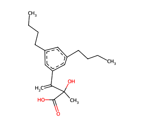 C=C(c1cc(CCCC)cc(CCCC)c1)C(C)(O)C(=O)O